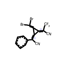 N#C/C(=C1/C(=C(Br)Br)/C1=C(/C#N)c1ccccc1)C(F)(F)F